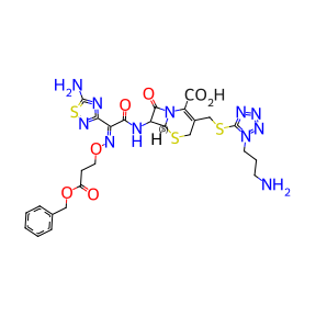 NCCCn1nnnc1SCC1=C(C(=O)O)N2C(=O)C(NC(=O)C(=NOCCC(=O)OCc3ccccc3)c3nsc(N)n3)[C@@H]2SC1